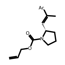 C=CCOC(=O)N1CCC[C@H]1/C=C(\C)C(C)=O